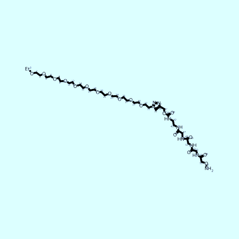 CCOCCOCCOCCOCCOCCOCCOCCOCCOCCOCCOCCn1cc(COC(=O)NCCNC(=O)CNC(=O)CNC(=O)CNC(=O)CON)nn1